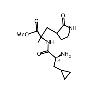 COC(=O)C(C)(CC1CCNC1=O)NC(=O)[C@@H](N)CC1CC1